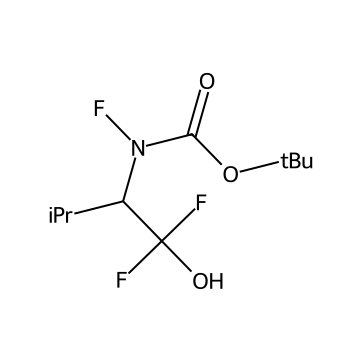 CC(C)C(N(F)C(=O)OC(C)(C)C)C(O)(F)F